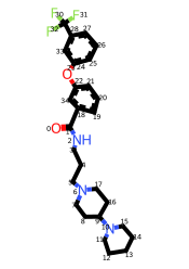 O=C(NCCCN1CCC(N2CCCCC2)CC1)c1cccc(Oc2cccc(C(F)(F)F)c2)c1